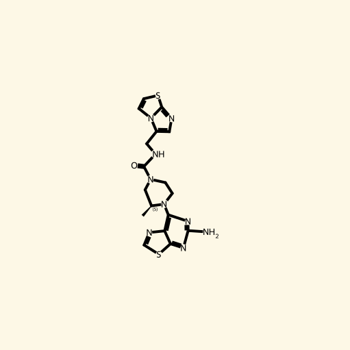 C[C@H]1CN(C(=O)NCc2cnc3sccn23)CCN1c1nc(N)nc2scnc12